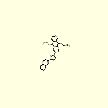 CCCc1c2ccccc2c(CCC)c2cc(-c3ccc(-c4ccc5ccccc5c4)s3)ccc12